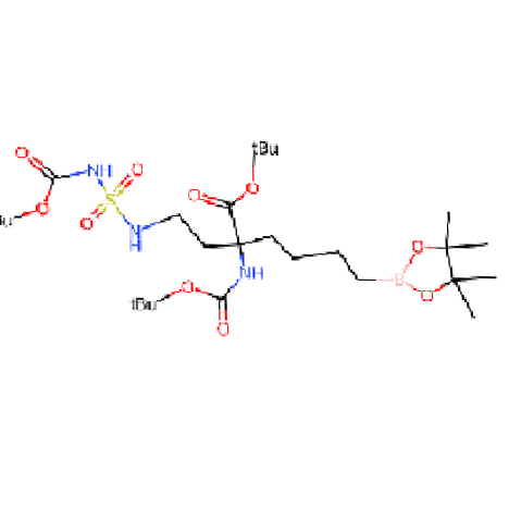 CC(C)(C)OC(=O)NC(CCCCB1OC(C)(C)C(C)(C)O1)(CCNS(=O)(=O)NC(=O)OC(C)(C)C)C(=O)OC(C)(C)C